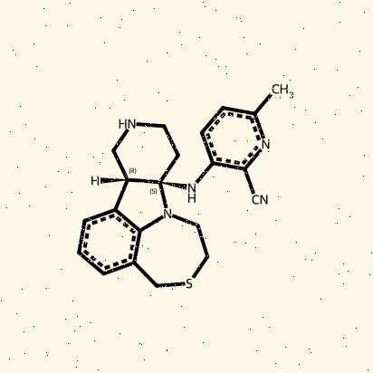 Cc1ccc(N[C@]23CCNC[C@H]2c2cccc4c2N3CCSC4)c(C#N)n1